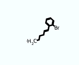 [CH2]CCCC=Cc1ccccc1Br